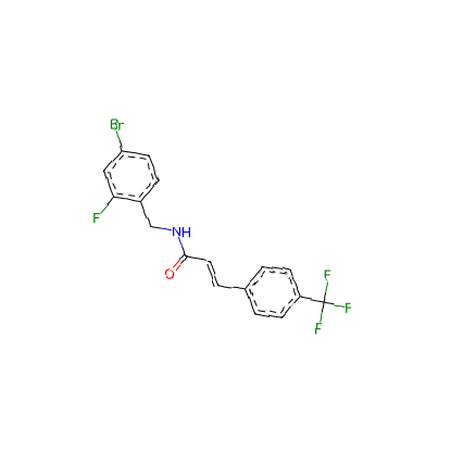 O=C(/C=C/c1ccc(C(F)(F)F)cc1)NCc1ccc(Br)cc1F